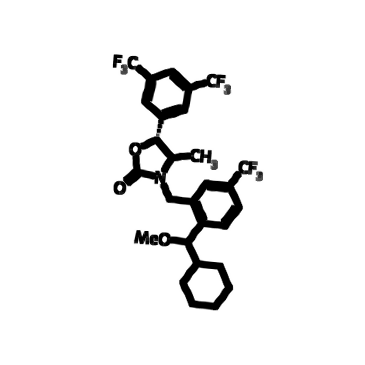 COC(c1ccc(C(F)(F)F)cc1CN1C(=O)O[C@H](c2cc(C(F)(F)F)cc(C(F)(F)F)c2)C1C)C1CCCCC1